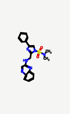 CN(C)S(=O)(=O)n1cc(-c2ccccc2)nc1CNc1cnc2ccccc2n1